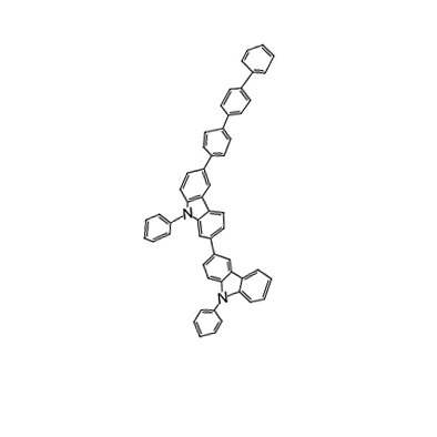 c1ccc(-c2ccc(-c3ccc(-c4ccc5c(c4)c4ccc(-c6ccc7c(c6)c6ccccc6n7-c6ccccc6)cc4n5-c4ccccc4)cc3)cc2)cc1